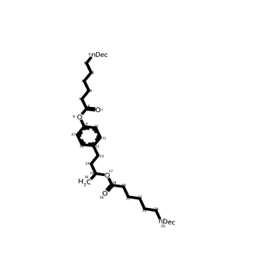 CCCCCCCCCCCCCCCC(=O)Oc1ccc(CCC(C)OC(=O)CCCCCCCCCCCCCCC)cc1